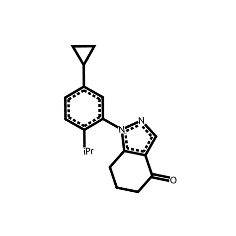 CC(C)c1ccc(C2CC2)cc1-n1ncc2c1CCCC2=O